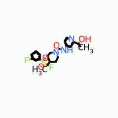 CC(O)c1cc(NC(=O)N2CCC(C(C)(F)S(=O)(=O)c3cccc(F)c3)CC2)ccn1